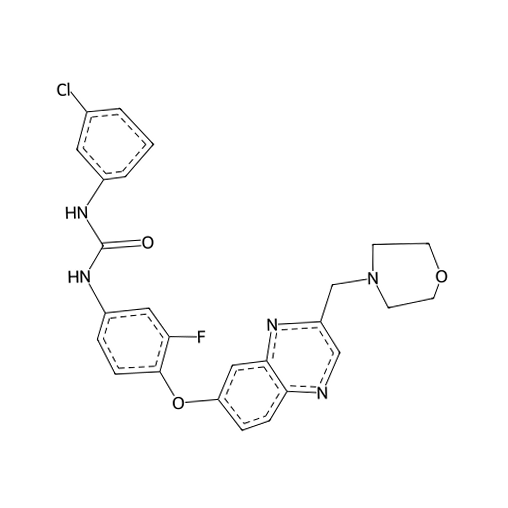 O=C(Nc1cccc(Cl)c1)Nc1ccc(Oc2ccc3ncc(CN4CCOCC4)nc3c2)c(F)c1